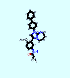 C=CC(=O)Nc1ccc(OC)c(C2=CN(c3ccc(-c4ccccc4)cc3)C3=NCCCCN23)c1